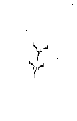 [I][Cu]([I])[I].[I][Cu]([I])[I]